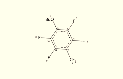 CC(C)COc1c(F)c(F)c(C(F)(F)F)c(F)c1F